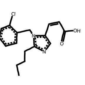 CCCCc1ncc(/C=C\C(=O)O)n1Cc1ccccc1Cl